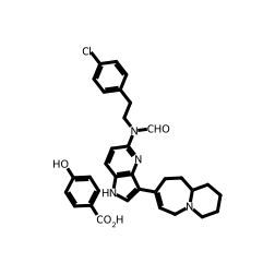 O=C(O)c1ccc(O)cc1.O=CN(CCc1ccc(Cl)cc1)c1ccc2[nH]cc(C3=CCN4CCCCC4CC3)c2n1